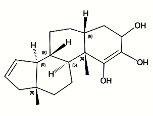 C[C@@]12CC=C[C@H]1[C@@H]1CC[C@@H]3CC(O)C(O)=C(O)[C@]3(C)[C@H]1CC2